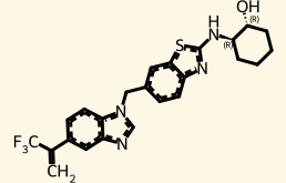 C=C(c1ccc2c(c1)ncn2Cc1ccc2nc(N[C@@H]3CCCC[C@H]3O)sc2c1)C(F)(F)F